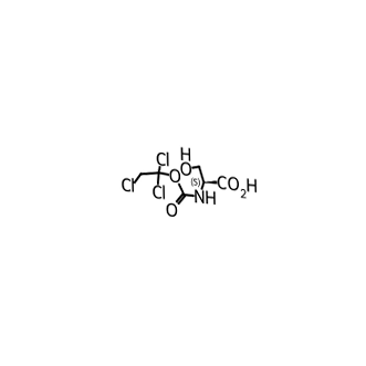 O=C(N[C@@H](CO)C(=O)O)OC(Cl)(Cl)CCl